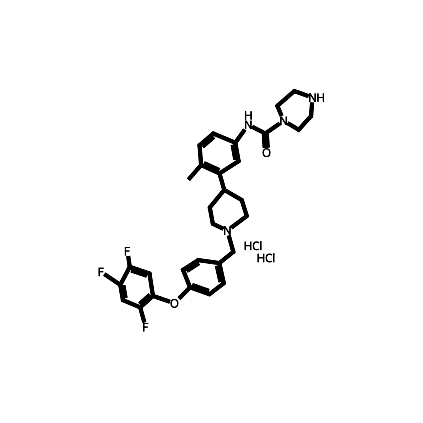 Cc1ccc(NC(=O)N2CCNCC2)cc1C1CCN(Cc2ccc(Oc3cc(F)c(F)cc3F)cc2)CC1.Cl.Cl